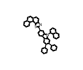 c1ccc(-c2cc3c4ccc(-c5nc6ccc7ccc8ccccc8c7c6s5)cc4n(-c4cccc5ccccc45)c3cc2-c2ccccc2)cc1